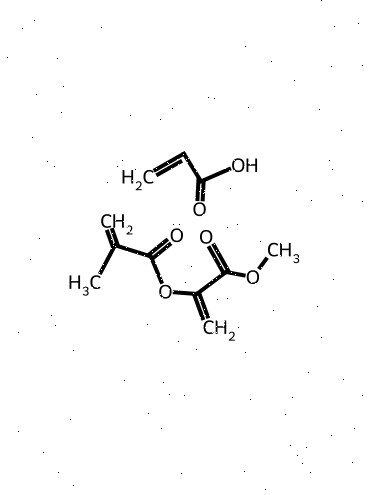 C=C(C)C(=O)OC(=C)C(=O)OC.C=CC(=O)O